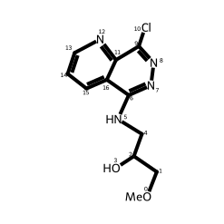 COCC(O)CNc1nnc(Cl)c2ncccc12